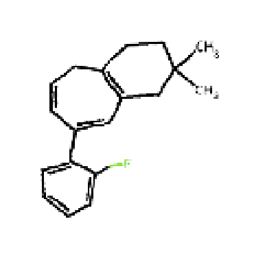 CC1(C)CCC2=C(C=C(c3ccccc3F)C=CC2)C1